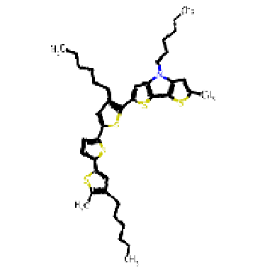 CCCCCCc1cc(-c2ccc(-c3cc(CCCCCC)c(-c4cc5c(s4)c4sc(C)cc4n5CCCCCC)s3)s2)sc1C